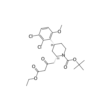 CCOC(=O)CC(=O)C[C@@H]1C[C@H](c2c(OC)ccc(Cl)c2Cl)CCN1C(=O)OC(C)(C)C